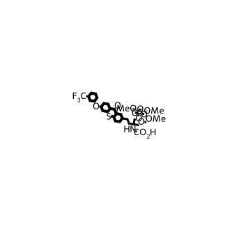 COCOCC(CCc1ccc2sc3cc(Oc4cccc(C(F)(F)F)c4)ccc3c(=O)c2c1)(COP(=O)(OOC)OOC)NC(=O)O